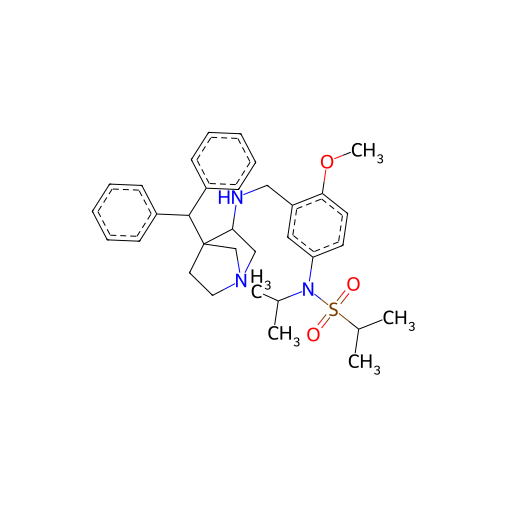 COc1ccc(N(C(C)C)S(=O)(=O)C(C)C)cc1CNC1CN2CCC1(C(c1ccccc1)c1ccccc1)C2